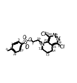 Cc1ccc(S(=O)(=O)OCCN2CCCc3c(Cl)nnc(Cl)c32)cc1